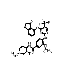 COc1cc(C(=O)NC2CCN(C)C[C@H]2F)ccc1Nc1ncc(C(F)(F)F)c(Oc2cccc3c2C(=O)CC3)n1